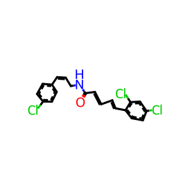 O=C(/C=C/C=C/c1ccc(Cl)cc1Cl)NC/C=C\c1ccc(Cl)cc1